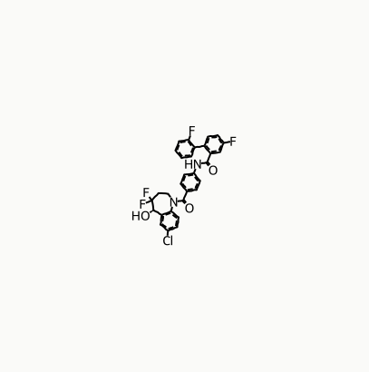 O=C(Nc1ccc(C(=O)N2CCC(F)(F)[C@H](O)c3cc(Cl)ccc32)cc1)c1cc(F)ccc1-c1ccccc1F